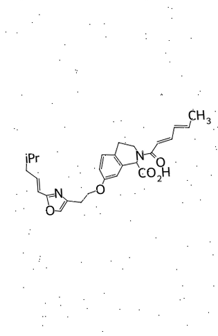 CC=CC=CC(=O)N1CCc2ccc(OCCc3coc(C=CCC(C)C)n3)cc2C1C(=O)O